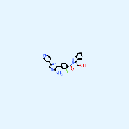 Nc1ncc(-c2ccncc2)nc1C1=CC(F)=C(C(=O)N[C@H](CO)c2ccccc2)CC1